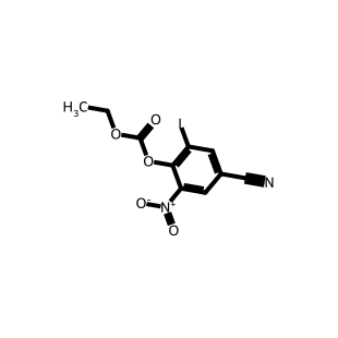 CCOC(=O)Oc1c(I)cc(C#N)cc1[N+](=O)[O-]